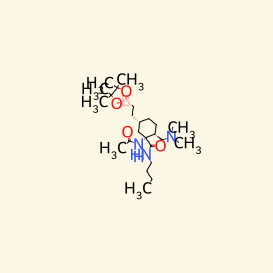 CCCCNC(=O)[C@@]1(NC(C)=O)C[C@H](CCB2OC(C)(C)C(C)(C)O2)CC[C@H]1CN(C)C